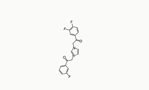 O=C(Cn1cc[n+](CC(=O)c2cccc(F)c2)c1)c1ccc(F)c(F)c1